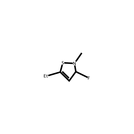 CCC1=CC(F)N(C)S1